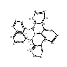 c1ccc(N2B3c4c(cccc4-c4cccnc4N3c3ccccc3)-c3cccnc32)cc1